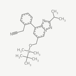 CC(C)c1nc2c(-c3ccccc3CC#N)cc(CO[Si](C)(C)C(C)(C)C)cn2n1